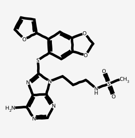 CS(=O)(=O)NCCCn1c(Sc2cc3c(cc2-c2ccco2)OCO3)nc2c(N)ncnc21